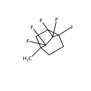 CC12CCC(I)(CC1)C(F)(F)C2(F)F